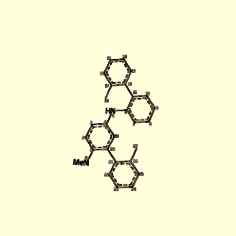 CNc1ccc(Nc2ccccc2-c2ccccc2C)cc1-c1ccccc1C